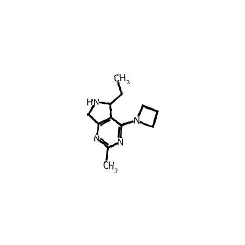 CCC1NCc2nc(C)nc(N3CCC3)c21